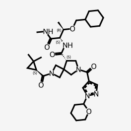 CNC(=O)[C@@H](NC(=O)[C@@H]1CN(C(=O)c2cnn(C3CCCCO3)c2)CC12CN(C(=O)[C@H]1CC1(C)C)C2)[C@@H](C)OCC1CCCCC1